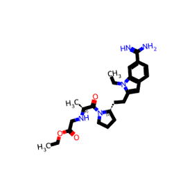 CCOC(=O)CN[C@H](C)C(=O)N1CCC[C@H]1CCc1cc2ccc(C(=N)N)cc2n1CC